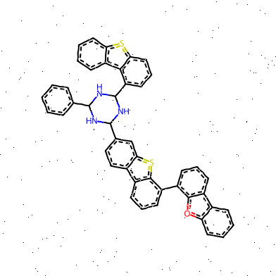 c1ccc(C2NC(c3ccc4c(c3)sc3c(-c5cccc6c5oc5ccccc56)cccc34)NC(c3cccc4sc5ccccc5c34)N2)cc1